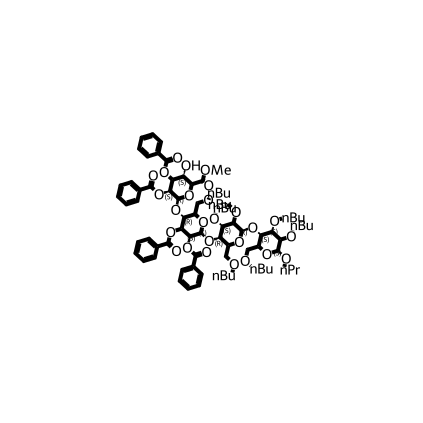 CCCCOCC1O[C@@H](O[C@@H]2C(COCCCC)O[C@H](O[C@H]3C(COCCCC)O[C@H](OCCC)C(OCCCC)[C@H]3OCCCC)C(OCCCC)[C@H]2OCCCC)[C@@H](OC(=O)c2ccccc2)C(OC(=O)c2ccccc2)[C@@H]1O[C@@H]1OC(C(=O)OC)[C@@H](O)C(OC(=O)c2ccccc2)[C@@H]1OC(=O)c1ccccc1